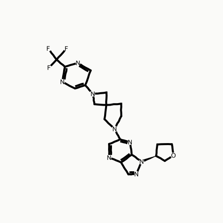 FC(F)(F)c1ncc(N2CC3(CCN(c4cnc5cnn([C@H]6CCOC6)c5n4)C3)C2)cn1